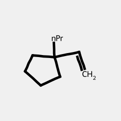 C=CC1(CCC)CCCC1